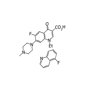 CCn1cc(C(=O)O)c(=O)c2cc(F)c(N3CCN(C)CC3)cc21.Fc1cccc2ncccc12